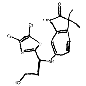 CC1(C)C(=O)Nc2cc(NC(CCO)c3nc(Cl)c(Cl)s3)ccc21